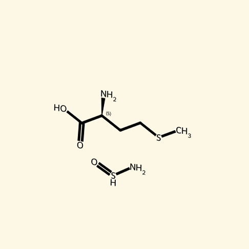 CSCC[C@H](N)C(=O)O.N[SH]=O